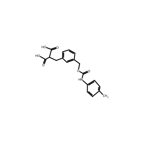 Cc1ccc(NC(=O)OCc2cccc(CC(C(=O)O)C(=O)O)c2)cc1